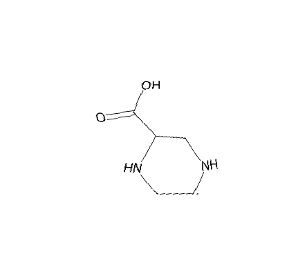 O=C(O)C1CN[CH]CN1